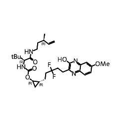 C=C[C@H](C)CCNC(=O)[C@@H](NC(=O)O[C@@H]1C[C@H]1CCC(F)(F)CCc1nc2ccc(OC)cc2nc1O)C(C)(C)C